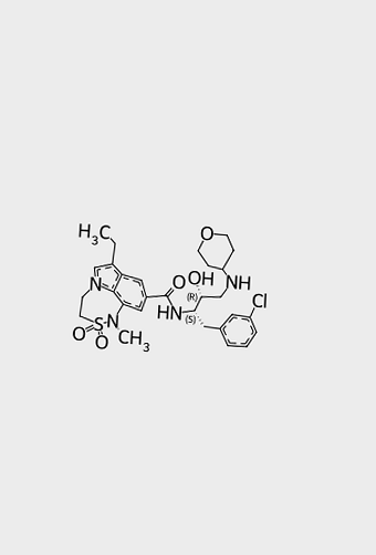 CCc1cn2c3c(cc(C(=O)N[C@@H](Cc4cccc(Cl)c4)[C@H](O)CNC4CCOCC4)cc13)N(C)S(=O)(=O)CC2